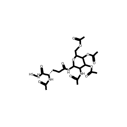 CC(=O)NC1C(NC(=O)CC[C@H](NC(C)=O)C(=O)NS)OC(COC(C)=O)C(OC(C)=O)C1OC(C)=O